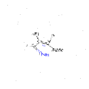 CC/C(C(C)=N)=C(\C)NC